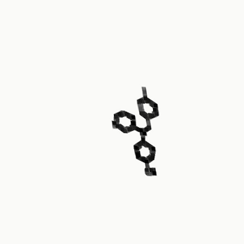 N#Cc1ccc(N(Cc2ccc(I)cc2)c2cccnc2)cc1